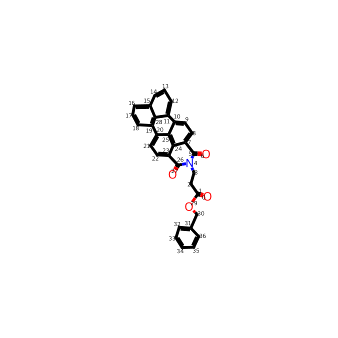 O=C(CCN1C(=O)c2ccc3c4cccc5cccc(c6ccc(c2c36)C1=O)c54)OCc1ccccc1